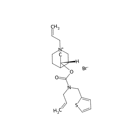 C=CCN(Cc1cccs1)C(=O)O[C@H]1C[N+]2(CC=C)CCC1CC2.[Br-]